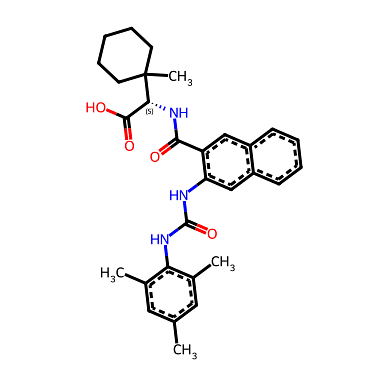 Cc1cc(C)c(NC(=O)Nc2cc3ccccc3cc2C(=O)N[C@H](C(=O)O)C2(C)CCCCC2)c(C)c1